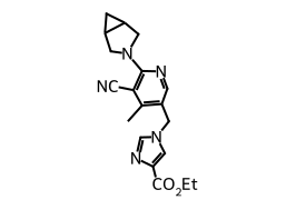 CCOC(=O)c1cn(Cc2cnc(N3CC4CC4C3)c(C#N)c2C)cn1